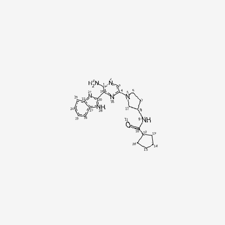 Nc1ncc(N2CCC(NC(=O)C3CCCC3)C2)nc1-c1nc2ccccc2[nH]1